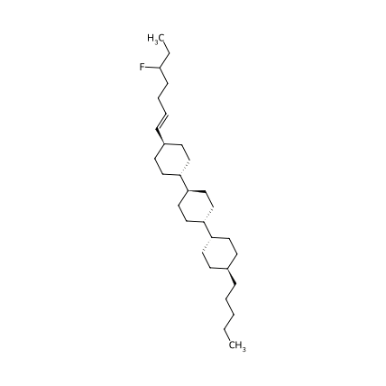 CCCCC[C@H]1CC[C@H]([C@H]2CC[C@H]([C@H]3CC[C@H](C=CCCC(F)CC)CC3)CC2)CC1